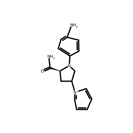 NC(=O)[C@@H]1CC([n+]2ccccc2)CN1c1ccc(N)cc1